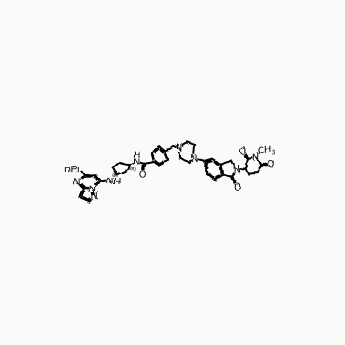 CCCc1cc(N[C@@H]2CC[C@@H](NC(=O)c3ccc(CN4CCN(c5ccc6c(c5)CN(C5CCC(=O)N(C)C5=O)C6=O)CC4)cc3)C2)n2nccc2n1